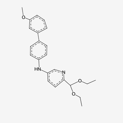 CCOC(OCC)c1ccc(Nc2ccc(-c3cccc(OC)c3)cc2)cn1